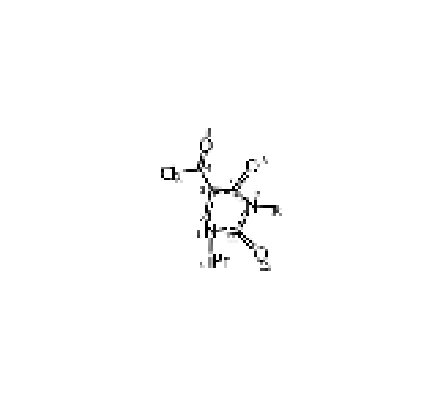 CC(C)n1cc(C(=O)Cl)c(=O)n(C)c1=O